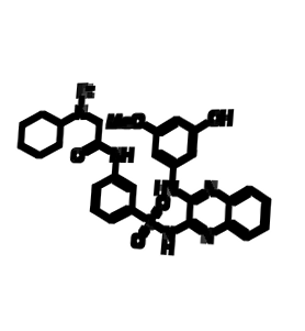 CCN(CC(=O)Nc1cccc(S(=O)(=O)Nc2nc3ccccc3nc2Nc2cc(O)cc(OC)c2)c1)C1CCCCC1